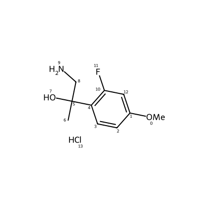 COc1ccc(C(C)(O)CN)c(F)c1.Cl